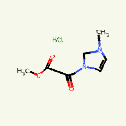 COC(=O)C(=O)N1C=CN(C)C1.Cl